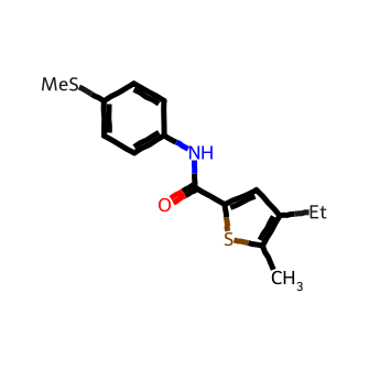 CCc1cc(C(=O)Nc2ccc(SC)cc2)sc1C